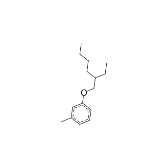 CCCCC(CC)COc1cccc(C)c1